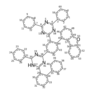 c1ccc(-c2nc(-c3ccccc3)nc(-c3cc(C4=NC(c5ccccc5)NC(c5ccccc5-c5ccccc5)=N4)ccc3-c3cccc4oc5ccccc5c34)n2)cc1